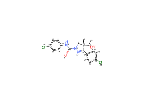 CC(O)C1(C)CN(C(=O)Nc2ccc(Cl)cc2)N=C1c1ccc(Cl)cc1